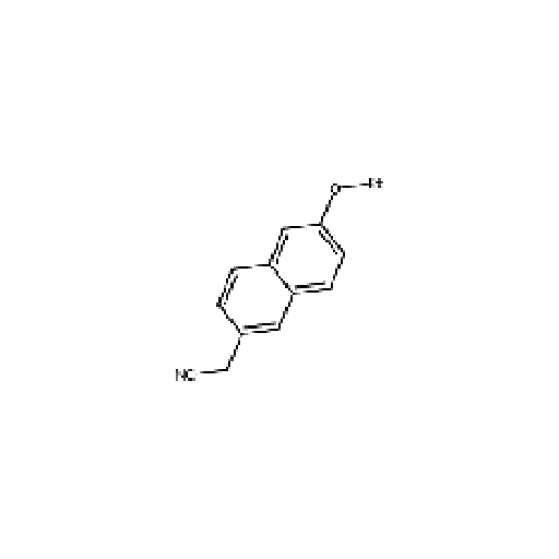 CCOc1ccc2cc(CC#N)ccc2c1